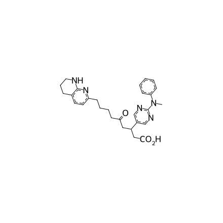 CN(c1ccccc1)c1ncc(C(CC(=O)O)CC(=O)CCCCc2ccc3c(n2)NCCC3)cn1